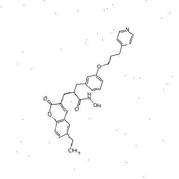 CCc1ccc2oc(=O)c(CC(Cc3cccc(OCCCc4ccncc4)c3)C(=O)NO)cc2c1